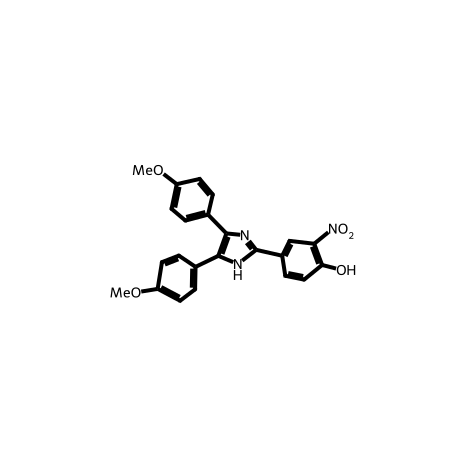 COc1ccc(-c2nc(-c3ccc(O)c([N+](=O)[O-])c3)[nH]c2-c2ccc(OC)cc2)cc1